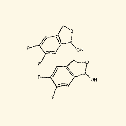 OB1OCc2cc(F)c(F)cc21.OB1OCc2cc(F)c(F)cc21